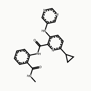 CNC(=O)c1ccccc1NC(=O)c1nc(C2CC2)ccc1Nc1cncnc1